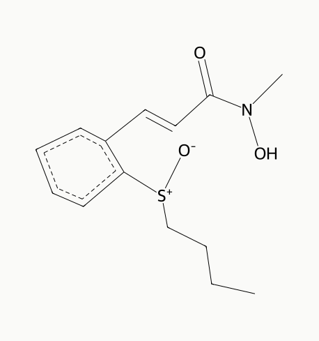 CCCC[S+]([O-])c1ccccc1/C=C/C(=O)N(C)O